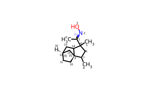 C/C(=N\O)C1(C)CC(C)[C@@]23CC[C@@H](CC12)C3